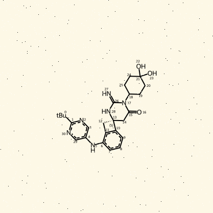 CC(C)(C)c1ncc(Nc2cccc3c2C[C@]32CC(=O)N(C3CCC(O)(O)CC3)C(=N)N2)cn1